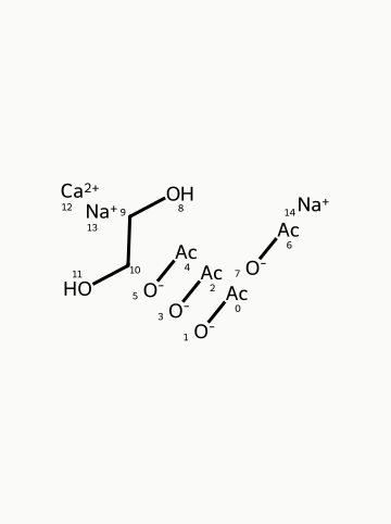 CC(=O)[O-].CC(=O)[O-].CC(=O)[O-].CC(=O)[O-].OCCO.[Ca+2].[Na+].[Na+]